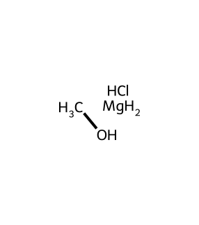 CO.Cl.[MgH2]